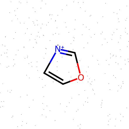 C1=COC=[N+]1